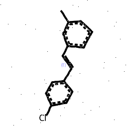 Cc1cccc(/C=C/c2ccc(Cl)cc2)c1